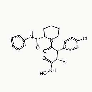 CC[C@H](C(=O)NO)[C@H](C(=O)N1CCCC[C@H]1C(=O)Nc1ccccc1)c1ccc(Cl)cc1